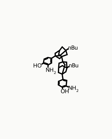 CCCCC12CC3CC(c4ccc(O)c(N)c4)(C1)CC(C14CC5CC(CCCC)(CC(c6ccc(O)c(N)c6)(C5)C1)C4)(C3)C2